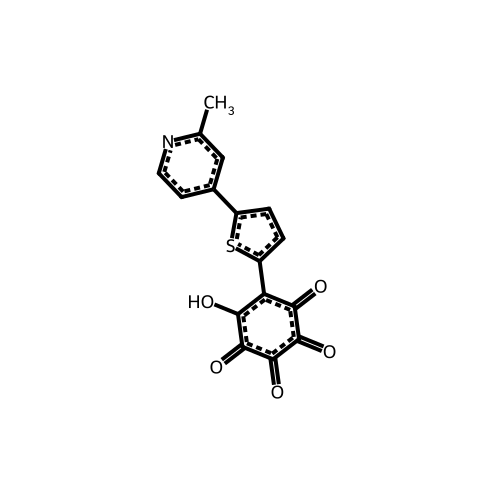 Cc1cc(-c2ccc(-c3c(O)c(=O)c(=O)c(=O)c3=O)s2)ccn1